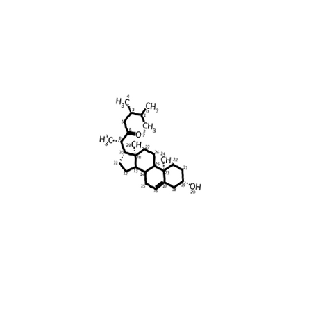 CC(C)[C@H](C)CC(=O)[C@@H](C)[C@H]1CCC2C3CC=C4C[C@@H](O)CC[C@]4(C)C3CC[C@@]21C